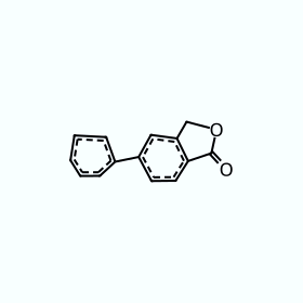 O=C1OCc2cc(-c3ccccc3)ccc21